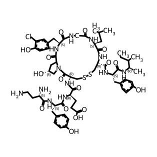 CCC(C)[C@@H](C)NC(=O)[C@H](Cc1ccc(O)cc1)NC(=O)[C@@H]1CSSC[C@H](NC(=O)[C@@H](CCC(=O)O)NC(=O)[C@H](Cc2ccc(O)cc2)NC(=O)[C@@H](N)CCN)C(=O)N2C[C@H](O)CC2C(=O)N[C@@H](Cc2ccc(O)c(Cl)c2)C(=O)NCC(=O)N[C@@H](CC(C)C)C(=O)N1